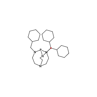 C1CCC(CN2CCN3CCN(CC4CCCCC4)P2N(CC2CCCCC2)CC3)CC1